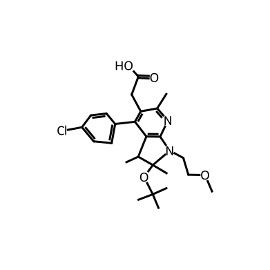 COCCN1c2nc(C)c(CC(=O)O)c(-c3ccc(Cl)cc3)c2C(C)C1(C)OC(C)(C)C